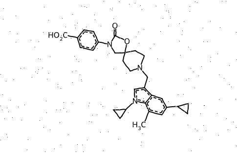 Cc1cc(C2CC2)cc2c(CN3CCC4(CC3)CN(c3ccc(C(=O)O)cc3)C(=O)O4)cn(C3CC3)c12